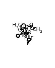 CCOC(=O)CC[C@H]1CC[C@H](C)N2C[C@H]1n1cc(C(=O)NCc3c(F)cc(F)cc3F)c(=O)c(OCc3ccccc3)c1C2=O